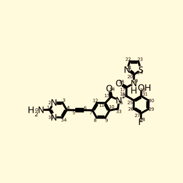 Nc1ncc(C#Cc2ccc3c(c2)C(=O)N([C@H](C(=O)Nc2nccs2)c2cc(F)ccc2O)C3)cn1